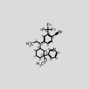 CCN(c1ccc(C#N)c(C(F)(F)F)c1)C1CCCC(OC)(c2cccnc2)C1